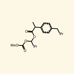 COC(=O)OC(OC(=O)C(C)c1ccc(CC(C)C)cc1)C(C)C